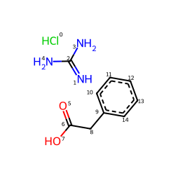 Cl.N=C(N)N.O=C(O)Cc1ccccc1